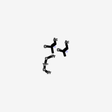 CC(=O)/C=C(/C)[O-].CC(=O)/C=C(/C)[O-].CC(C)[O][Ti+2][O]C(C)C